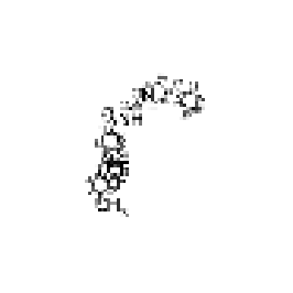 Cc1ccc(Cn2ccc3cc(C(=O)NCCCN4CCC(Cc5ccccc5)CC4)ccc32)c(C(F)(F)F)c1